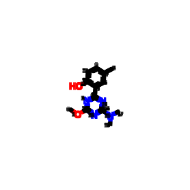 COc1nc(-c2cc(C)ccc2O)nc(N(C)C)n1